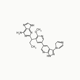 CCC(c1nc(N)c2nc[nH]c2n1)c1cc(-c2cnc3[nH]nc(N4C=CN=CC4)c3c2)cnc1OC